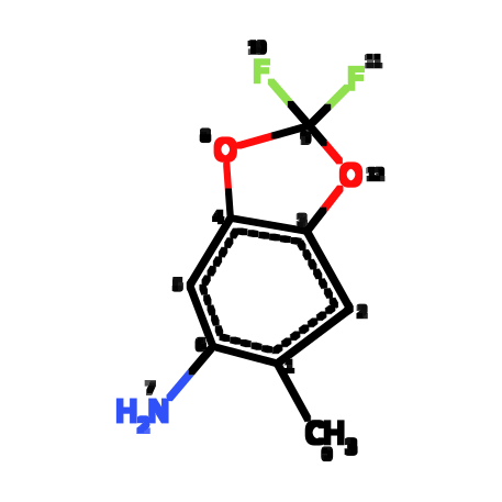 Cc1cc2c(cc1N)OC(F)(F)O2